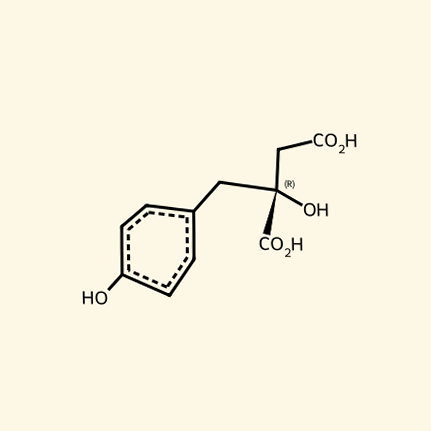 O=C(O)C[C@](O)(Cc1ccc(O)cc1)C(=O)O